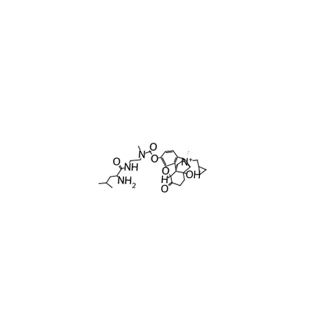 CC(C)C[C@H](N)C(=O)NCCN(C)C(=O)Oc1ccc2c3c1O[C@H]1C(=O)CC[C@@]4(O)C(C2)[N@+](C)(CC2CC2)CC[C@]314